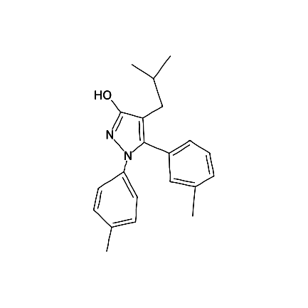 Cc1ccc(-n2nc(O)c(CC(C)C)c2-c2cccc(C)c2)cc1